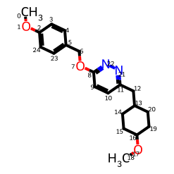 COc1ccc(COc2ccc(CC3CCC(OC)CC3)nn2)cc1